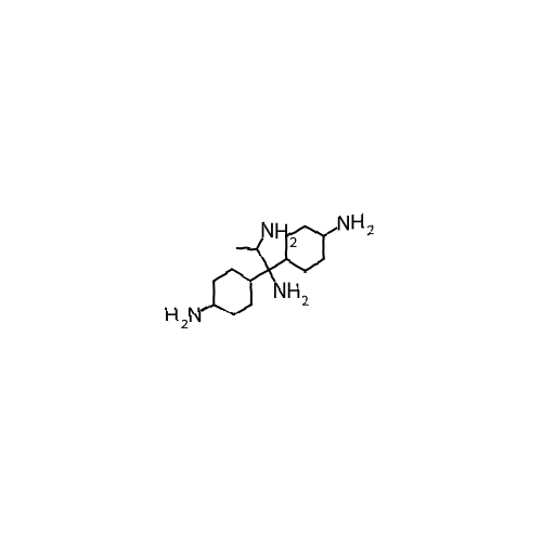 CC(N)C(N)(C1CCC(N)CC1)C1CCC(N)CC1